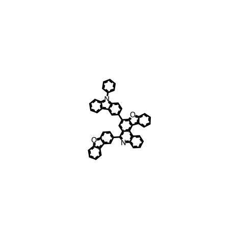 c1ccc(-n2c3ccccc3c3cc(-c4cc5c(-c6ccc7oc8ccccc8c7c6)nc6ccccc6c5c5c4oc4ccccc45)ccc32)cc1